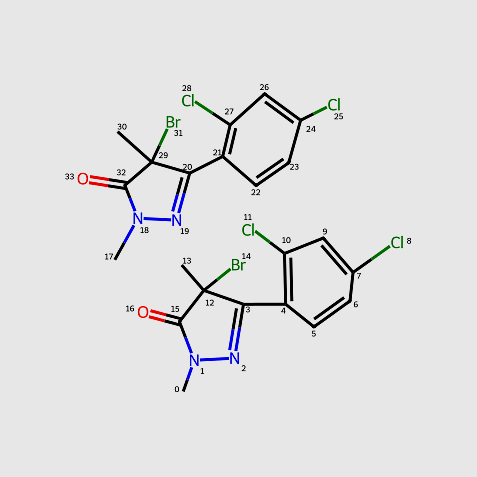 CN1N=C(c2ccc(Cl)cc2Cl)C(C)(Br)C1=O.CN1N=C(c2ccc(Cl)cc2Cl)C(C)(Br)C1=O